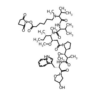 CC[C@H](C)[C@@H]([C@@H](CC(=O)N1CCC[C@H]1[C@H](OC)[C@@H](C)C(=O)N[C@@H](Cc1c[nH]c2ccccc12)C(=O)N1CC(O)CO1)OC)N(C)C(=O)[C@@H](NC(=O)C(C(C)C)N(C)CCCCCC(=O)ON1C(=O)CCC1=O)C(C)C